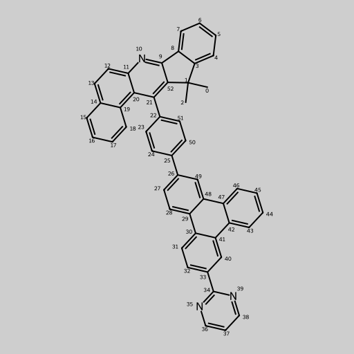 CC1(C)c2ccccc2-c2nc3ccc4ccccc4c3c(-c3ccc(-c4ccc5c6ccc(-c7ncccn7)cc6c6ccccc6c5c4)cc3)c21